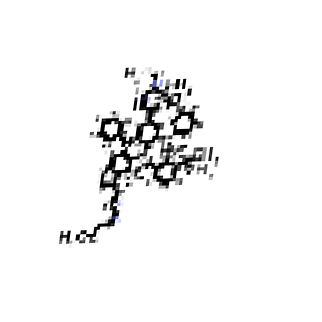 C=C1B2c3cc4c(/C=C/C=C\CCC)csc4cc3N(c3ccccc3)c3cc(C(C)/C=C\C(=C/C)C(C)(C)C)cc(c32)N(c2ccccc2)Sc2c1cccc2C(C)(C)C